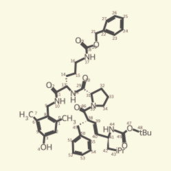 Cc1cc(O)cc(C)c1CNC(=O)[C@H](CCCNC(=O)OCc1ccccc1)NC(=O)[C@@H]1CCCN1C(=O)[C@H](/C=C/[C@H](CC(C)C)NC(=O)OC(C)(C)C)Cc1ccccc1